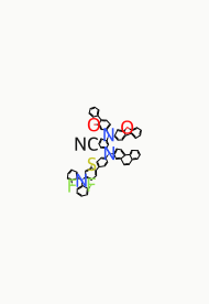 N#Cc1cc(N(c2ccc3c(c2)oc2ccccc23)c2ccc3c(c2)oc2ccccc23)cc(N(c2ccc3c(ccc4ccccc43)c2)c2ccc3c(c2)sc2cc(N(c4ccccc4F)c4ccccc4F)ccc23)c1